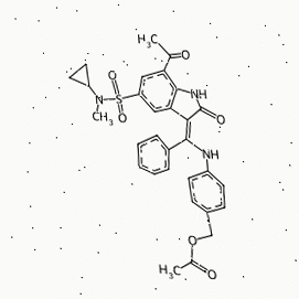 CC(=O)OCc1ccc(N/C(=C2\C(=O)Nc3c(C(C)=O)cc(S(=O)(=O)N(C)C4CC4)cc32)c2ccccc2)cc1